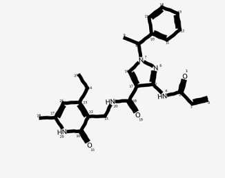 C=CC(=O)Nc1nn(C(C)c2ccccc2)cc1C(=O)NCc1c(CC)cc(C)[nH]c1=O